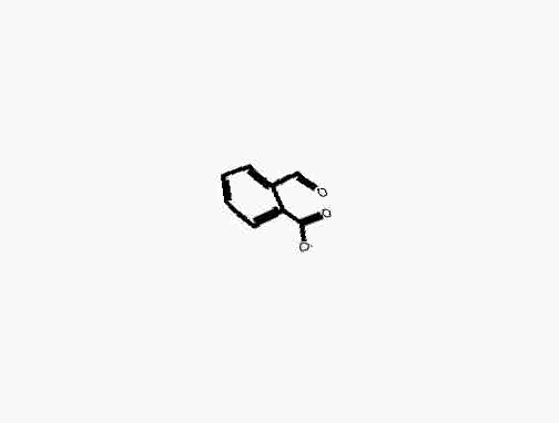 [O]C(=O)c1ccccc1C=O